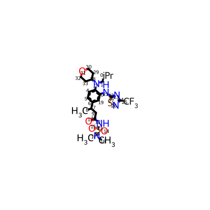 CC(C)CN(c1ccc(C(C)CC(=O)NS(=O)(=O)N(C)C)cc1Nc1nc(C(F)(F)F)ns1)C1CCOCC1